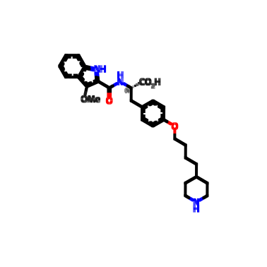 COc1c(C(=O)N[C@@H](Cc2ccc(OCCCCC3CCNCC3)cc2)C(=O)O)[nH]c2ccccc12